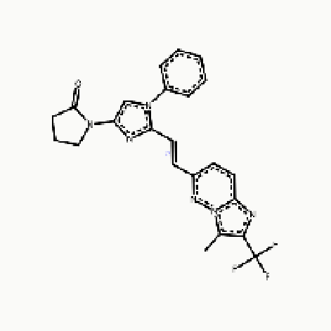 Cc1c(C(F)(F)F)nc2ccc(/C=C/c3nc(N4CCCC4=O)cn3-c3ccccc3)nn12